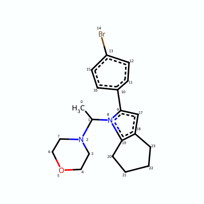 CC(N1CCOCC1)n1c(-c2ccc(Br)cc2)cc2c1CCCC2